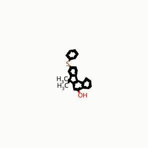 CC1(C)c2cc(Sc3ccccc3)ccc2-c2c1cc(O)c1ccccc21